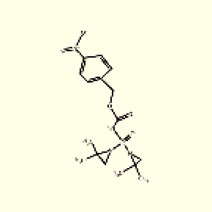 CC1(C)CN1P(=O)(NC(=O)OCc1ccc([N+](=O)[O-])cc1)N1CC1(C)C